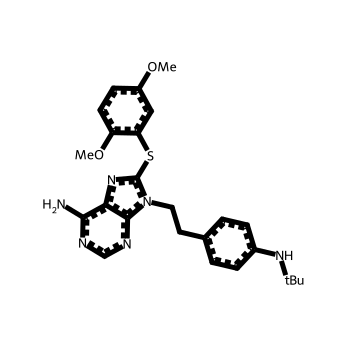 COc1ccc(OC)c(Sc2nc3c(N)ncnc3n2CCc2ccc(NC(C)(C)C)cc2)c1